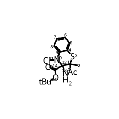 CC(=O)C1(C)Sc2ccccc2N(Cl)C1(N)C(=O)OC(C)(C)C